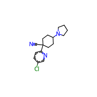 N#CC1(c2ccc(Cl)cn2)CCC(N2CCCC2)CC1